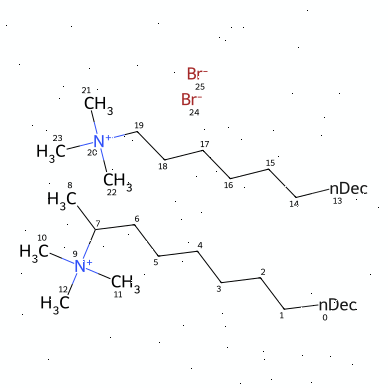 CCCCCCCCCCCCCCCCC(C)[N+](C)(C)C.CCCCCCCCCCCCCCCC[N+](C)(C)C.[Br-].[Br-]